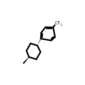 C[C@H]1CC[C@H](c2ccc(C(F)(F)F)cc2)CC1